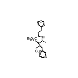 CCOC(=O)[C@H](CCc1ccccc1)N[C@@H](C)C(=O)[N+](=Cc1cccnc1)CC(=O)[O-].Cl